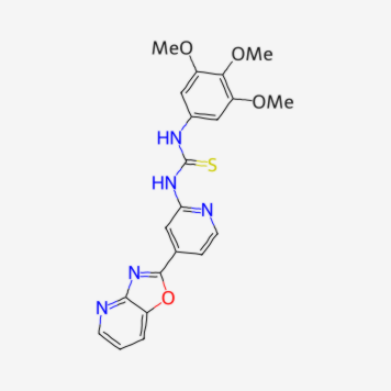 COc1cc(NC(=S)Nc2cc(-c3nc4ncccc4o3)ccn2)cc(OC)c1OC